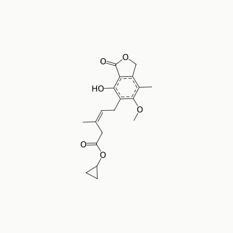 COc1c(C)c2c(c(O)c1CC=C(C)CC(=O)OC1CC1)C(=O)OC2